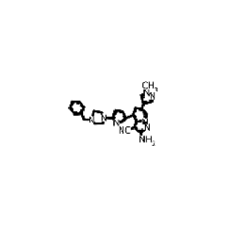 Cn1cc(-c2cc(-c3ccc(N4CCN(Cc5ccccc5)CC4)nc3)c3c(C#N)c(N)nn3c2)cn1